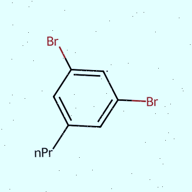 CCCc1cc(Br)[c]c(Br)c1